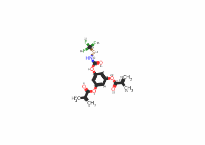 C=C(C)C(=O)Oc1cc(OC(=O)NSC(F)(F)F)cc(OC(=O)C(=C)C)c1